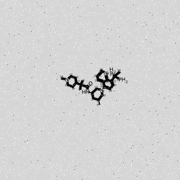 C[C@H]1C[C@@H](NC(=O)C(C)(C)C2CCN(C)CC2)CN(c2ccc(C(C)(P)P)c3ncccc23)C1